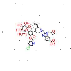 CC(C)[C@H](C)[C@H](C)C1CC(c2c(CO[C@@H]3O[C@H](C(=O)O)[C@@H](O)[C@H](O)[C@H]3O)ccc3c2O[C@@](C)(c2ccc(Cl)cn2)O3)CCN(Cc2nc3ccc(C(=O)O)cc3n2CC2CCO2)C1